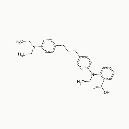 CCN(CC)c1ccc(CCCc2ccc(N(CC)c3ccccc3C(=O)O)cc2)cc1